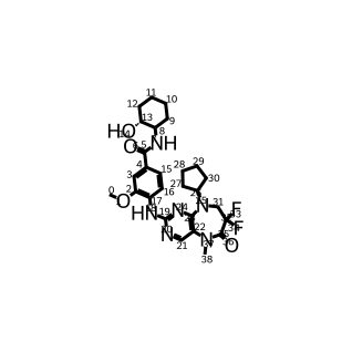 COc1cc(C(=O)NC2CCCC[C@H]2O)ccc1Nc1ncc2c(n1)N(C1CCCC1)CC(F)(F)C(=O)N2C